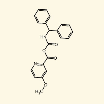 COc1ccnc(C(=O)OC(=O)NC(c2ccccc2)c2ccccc2)c1